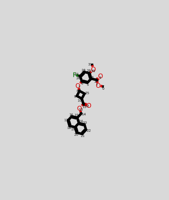 COC(=O)c1cc(OC2CC(C(=O)OCc3cccc4ccccc34)C2)c(F)cc1OC